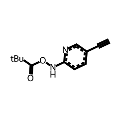 C#Cc1ccc(NOC(=O)C(C)(C)C)nc1